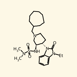 CCn1c(=O)n([C@H]2CCN(CC3CCCCCCC3)C[C@@H]2NS(=O)(=O)N(C)C)c2ccccc21